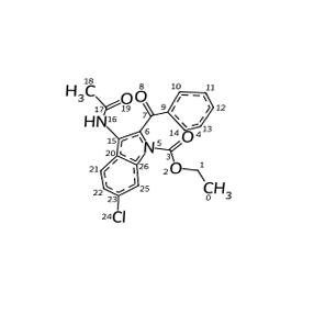 CCOC(=O)n1c(C(=O)c2ccccc2)c(NC(C)=O)c2ccc(Cl)cc21